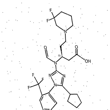 O=CN(c1nc(C2CCCC2)n(-c2ccccc2C(F)(F)F)n1)[C@@H](CCN1CCCC(F)(F)C1)CC(=O)O